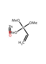 C=C[Si](OC)(OC)OC.[O]=[Zn]